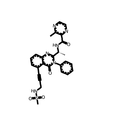 Cc1nccnc1C(=O)N[C@H](C)c1nc2cccc(C#CCNS(C)(=O)=O)c2c(=O)n1-c1ccccc1